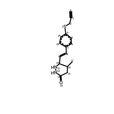 C#CCSc1ccc(/C=C/C2NNC(=O)CC2C)cc1